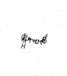 CC(=O)NCCc1sc(CCN2CCC(c3noc4cc(F)ccc34)CC2)cc1Br